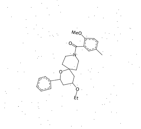 CCOC1CC(c2ccccc2)OC2(CCN(C(=O)c3cc(C)ccc3OC)CC2)C1